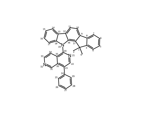 CC1(C)c2ccccc2-c2ccc3c4ccccc4n(-c4ncc(-c5ccccc5)c5cnccc45)c3c21